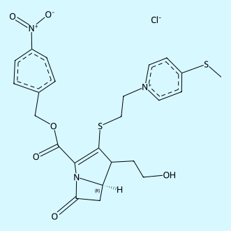 CSc1cc[n+](CCSC2=C(C(=O)OCc3ccc([N+](=O)[O-])cc3)N3C(=O)C[C@@H]3C2CCO)cc1.[Cl-]